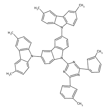 Cc1cccc(-c2nc(-c3cccc(C)c3)nc(-n3c4ccc(-n5c6ccc(C)cc6c6cc(C)ccc65)cc4c4cc(-n5c6ccc(C)cc6c6cc(C)ccc65)ccc43)n2)c1